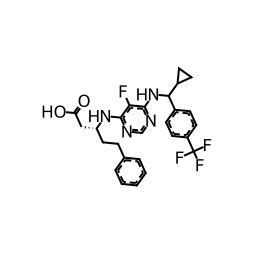 O=C(O)C[C@@H](CCc1ccccc1)Nc1ncnc(NC(c2ccc(C(F)(F)F)cc2)C2CC2)c1F